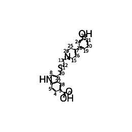 O=C(O)c1ccc2[nH]cc(CSCCN3CC=C(c4cccc(O)c4)CC3)c2c1